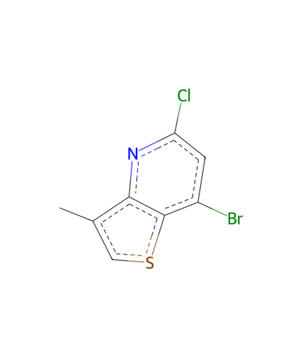 Cc1csc2c(Br)cc(Cl)nc12